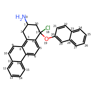 NC1Cc2c(ccc3c2ccc2ccccc23)C(Cl)(Oc2ccc3ccccc3c2)C1